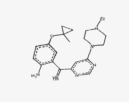 CCN1CCN(c2cc(C(=N)c3cc(OC4(C)CC4)ccc3N)ncn2)CC1